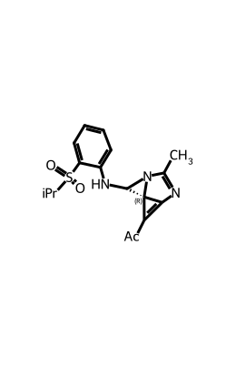 CC(=O)C1=C2N=C(C)N3C(Nc4ccccc4S(=O)(=O)C(C)C)[C@]213